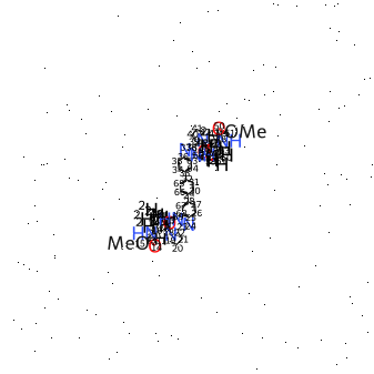 [2H]C([2H])([2H])C([2H])(C([2H])([2H])[2H])[C@@]([2H])(NC(=O)OC)C(=O)N1CCC[C@H]1c1nc2ccc(-c3ccc(-c4ccc5nc([C@@H]6CCCN6C(=O)[C@]([2H])(NC(=O)OC)C([2H])(C([2H])([2H])[2H])C([2H])([2H])[2H])[nH]c5c4)cc3)cc2[nH]1